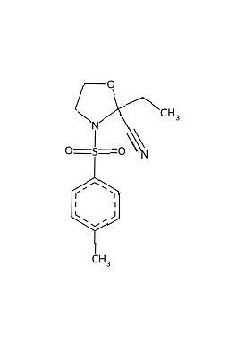 CCC1(C#N)OCCN1S(=O)(=O)c1ccc(C)cc1